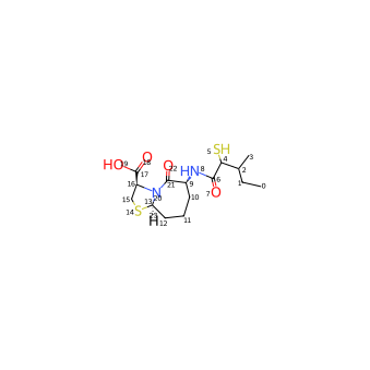 CCC(C)C(S)C(=O)N[C@H]1CCC[C@H]2SC[C@@H](C(=O)O)N2C1=O